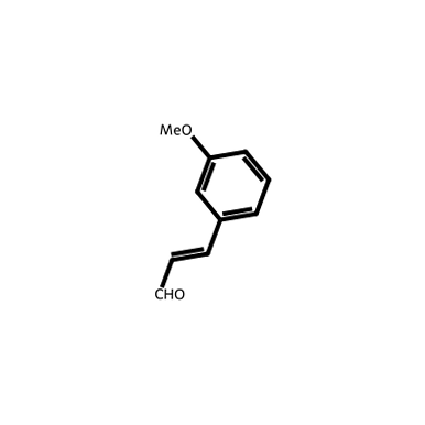 COc1cccc(C=CC=O)c1